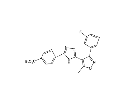 CCOC(=O)c1ccc(-c2ncc(-c3c(-c4cccc(F)c4)noc3C)[nH]2)cc1